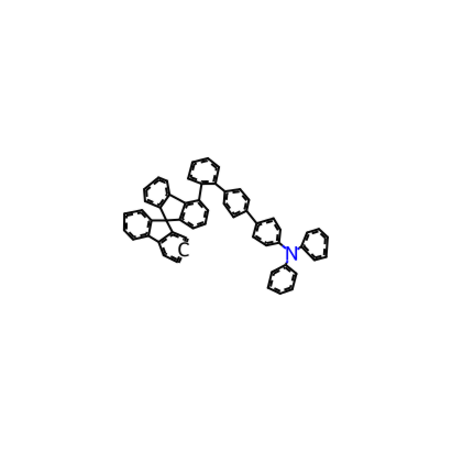 c1ccc(N(c2ccccc2)c2ccc(-c3ccc(-c4ccccc4-c4cccc5c4-c4ccccc4C54c5ccccc5-c5ccccc54)cc3)cc2)cc1